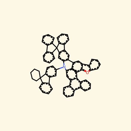 c1ccc2c(c1)-c1cc(N(c3ccc4c5ccccc5c5ccccc5c4c3)c3cc4c(cc3-c3ccc5oc6ccccc6c5c3)-c3ccccc3C43c4ccccc4-c4ccccc43)ccc1C21CCCCC1